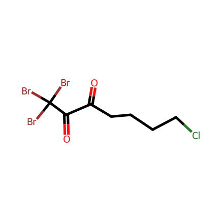 O=C(CCCCCl)C(=O)C(Br)(Br)Br